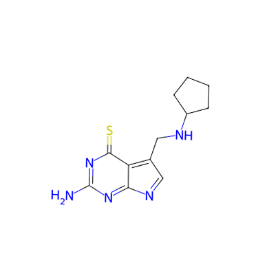 NC1=NC(=S)C2=C(CNC3CCCC3)C=NC2=N1